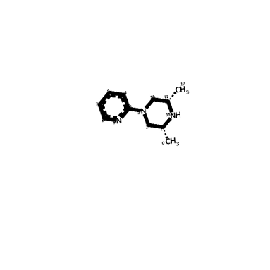 C[C@@H]1CN(c2ccccn2)C[C@H](C)N1